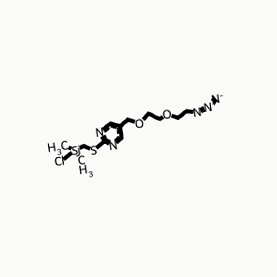 C[Si](C)(Cl)CSc1ncc(COCCOCCN=[N+]=[N-])cn1